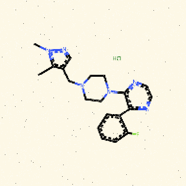 Cc1c(CN2CCN(c3nccnc3-c3ccccc3F)CC2)cnn1C.Cl